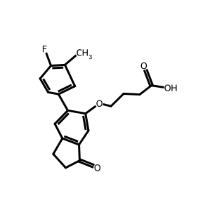 Cc1cc(-c2cc3c(cc2OCCCC(=O)O)C(=O)CC3)ccc1F